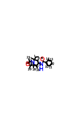 CCC1(C)CC(NC(=O)c2ccccc2)C(C)C(C)(CC)N1C(C)=O